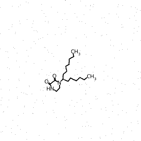 CCCCCCCC(CCCCCC)N1CCNC(=O)C1=O